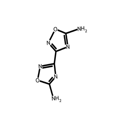 Nc1nc(-c2noc(N)n2)no1